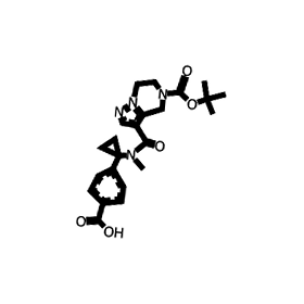 CN(C(=O)c1cnn2c1CN(C(=O)OC(C)(C)C)CC2)C1(c2ccc(C(=O)O)cc2)CC1